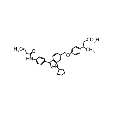 C=CCC(=O)Nc1ccc(-c2nn(C3CCCC3)c3cc(COc4ccc(C(C)CC(=O)O)cc4)ccc23)cc1